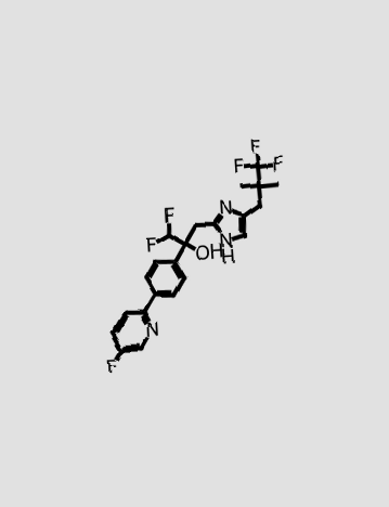 CC(C)(Cc1c[nH]c(CC(O)(c2ccc(-c3ccc(F)cn3)cc2)C(F)F)n1)C(F)(F)F